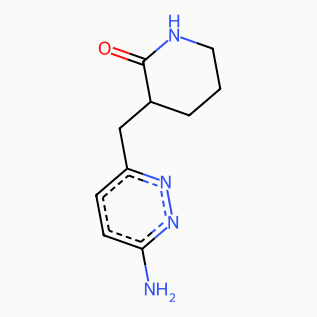 Nc1ccc(CC2CCCNC2=O)nn1